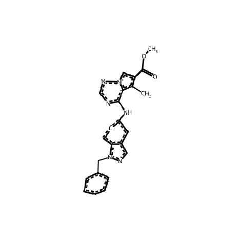 COC(=O)c1cn2ncnc(Nc3ccc4c(cnn4Cc4ccccc4)c3)c2c1C